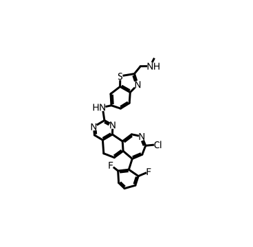 CNCc1nc2ccc(Nc3ncc4c(n3)C3=CN=C(Cl)C=C(c5c(F)cccc5F)C3=CC4)cc2s1